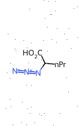 CCCC(N=[N+]=[N-])C(=O)O